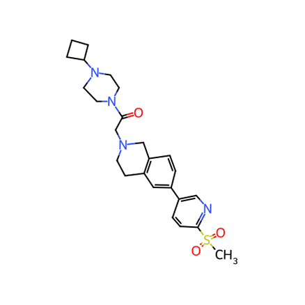 CS(=O)(=O)c1ccc(-c2ccc3c(c2)CCN(CC(=O)N2CCN(C4CCC4)CC2)C3)cn1